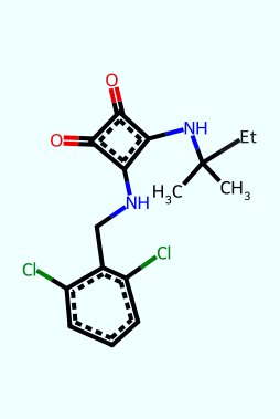 CCC(C)(C)Nc1c(NCc2c(Cl)cccc2Cl)c(=O)c1=O